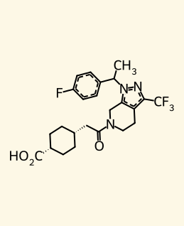 CC(c1ccc(F)cc1)n1nc(C(F)(F)F)c2c1CN(C(=O)C[C@H]1CC[C@@H](C(=O)O)CC1)CC2